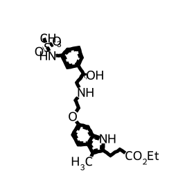 CCOC(=O)CCc1[nH]c2cc(OCCNC[C@H](O)c3cccc(NS(C)(=O)=O)c3)ccc2c1C